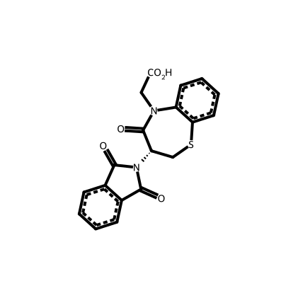 O=C(O)CN1C(=O)[C@@H](N2C(=O)c3ccccc3C2=O)CSc2ccccc21